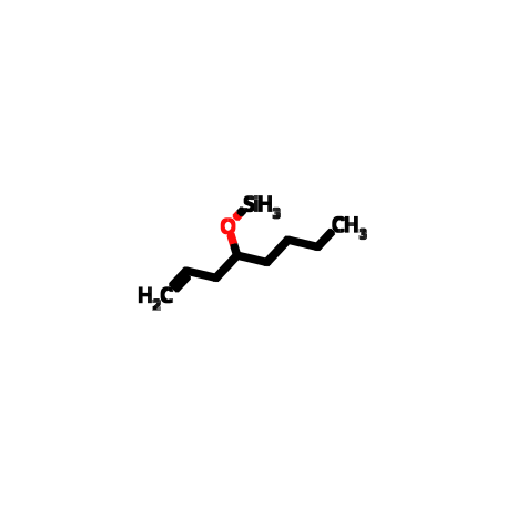 C=CCC(CCCC)O[SiH3]